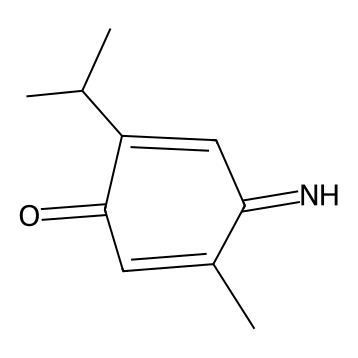 CC1=CC(=O)C(C(C)C)=CC1=N